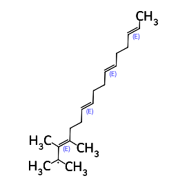 C/C=C/CC/C=C/CC/C=C/CC/C(C)=C(\C)[C](C)C